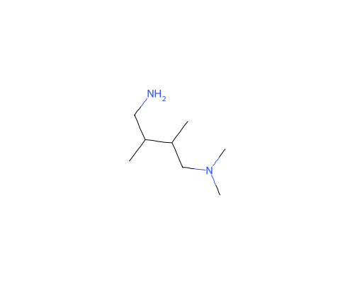 CC(CN)C(C)CN(C)C